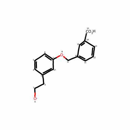 [O]CCc1cccc(OCc2cccc(C(=O)O)c2)c1